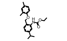 CCOC(=O)Nc1cc(C(C)C)ccc1COc1ccc(C)cc1C